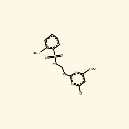 COc1cc(Cl)nc(NCNS(=O)(=O)c2ccccc2C(=O)O)n1